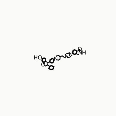 O=C1NCc2cc(N3CCN(CCC4CCN(c5ccc(C6c7ccc(O)cc7OCC6c6ccccc6)cc5)CC4)CC3)ccc21